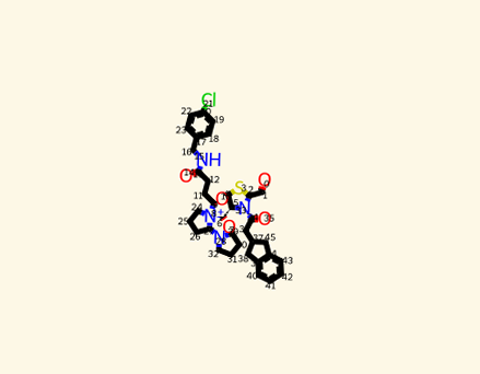 O=CC1SC[C@@H](C(=O)[N@@+]2(C(=O)CCC(=O)NCc3ccc(Cl)cc3)CCCC2N2CCCC2)N1C(=O)CC1Cc2ccccc2C1